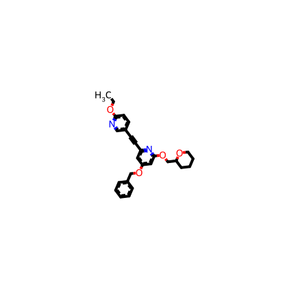 CCOc1ccc(C#Cc2cc(OCc3ccccc3)cc(OCC3CCCCO3)n2)cn1